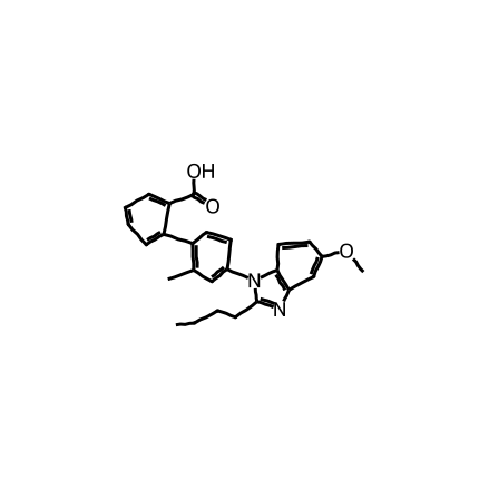 CCCCc1nc2cc(OC)ccc2n1-c1ccc(-c2ccccc2C(=O)O)c(C)c1